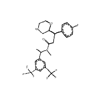 CC(c1cc(C(F)(F)F)cc(C(F)(F)F)c1)N(C)C(=O)CC(c1ccc(F)cc1)C1CNCCO1